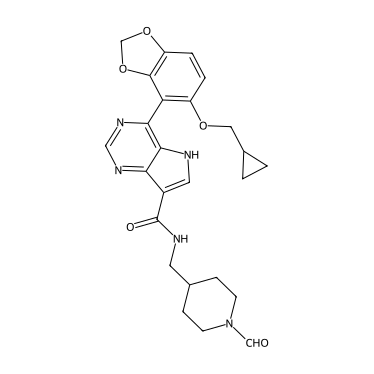 O=CN1CCC(CNC(=O)c2c[nH]c3c(-c4c(OCC5CC5)ccc5c4OCO5)ncnc23)CC1